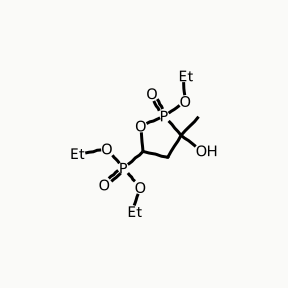 CCOP(=O)(OCC)C1CC(C)(O)P(=O)(OCC)O1